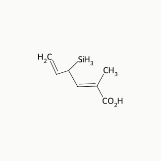 C=CC([SiH3])C=C(C)C(=O)O